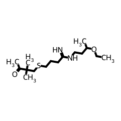 CCOC(C)CCNC(=N)CCCSCC(C)(C)C(C)=O